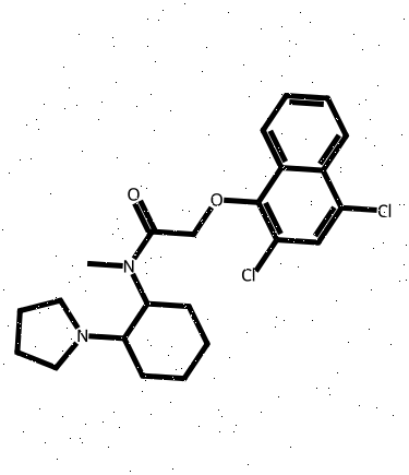 CN(C(=O)COc1c(Cl)cc(Cl)c2ccccc12)C1CCCCC1N1CCCC1